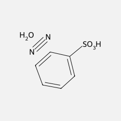 N#N.O.O=S(=O)(O)c1ccccc1